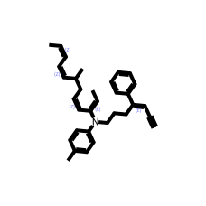 C#C/C=C(\CCCN(C(/C=C\CC(C)/C=C\C=C/C)=C/C)c1ccc(C)cc1)c1ccccc1